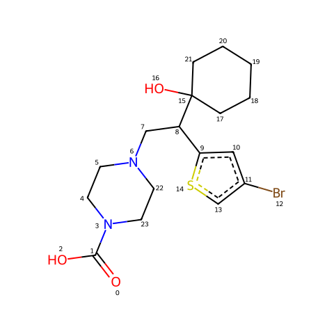 O=C(O)N1CCN(CC(c2cc(Br)cs2)C2(O)CCCCC2)CC1